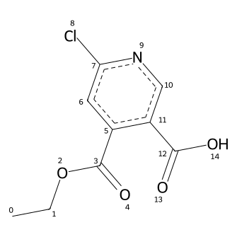 CCOC(=O)c1cc(Cl)ncc1C(=O)O